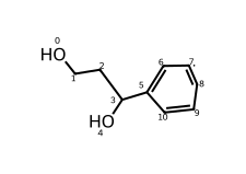 OCCC(O)c1c[c]ccc1